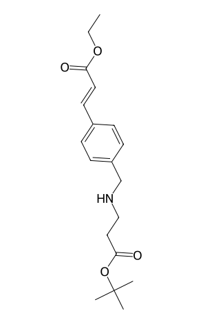 CCOC(=O)/C=C/c1ccc(CNCCC(=O)OC(C)(C)C)cc1